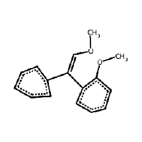 COC=C(c1ccccc1)c1ccccc1OC